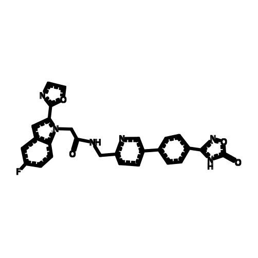 O=C(Cn1c(-c2ncco2)cc2cc(F)ccc21)NCc1ccc(-c2ccc(-c3noc(=O)[nH]3)cc2)cn1